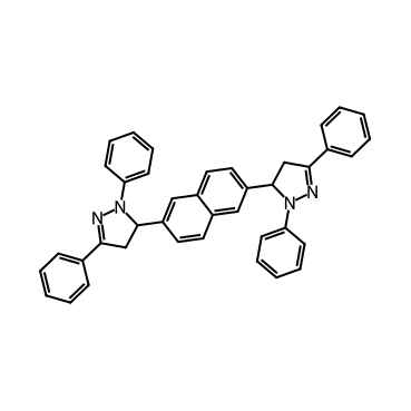 c1ccc(C2=NN(c3ccccc3)C(c3ccc4cc(C5CC(c6ccccc6)=NN5c5ccccc5)ccc4c3)C2)cc1